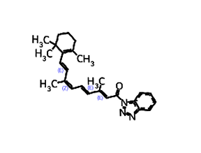 CC1=C(/C=C/C(C)=C\C=C\C(C)=C\C(=O)n2nnc3ccccc32)C(C)(C)CCC1